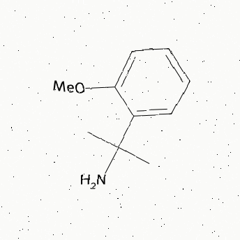 COc1ccccc1C(C)(C)N